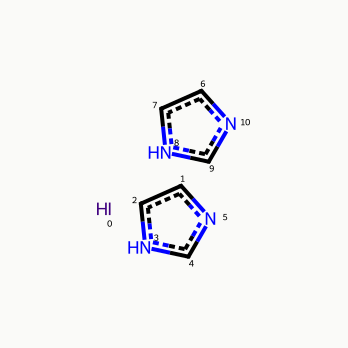 I.c1c[nH]cn1.c1c[nH]cn1